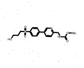 CC(C)(C)OC(=O)NCc1ccc(-c2ccc(S(=O)(=O)CCCO)cc2)cn1